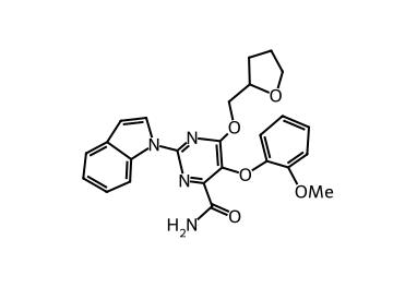 COc1ccccc1Oc1c(OCC2CCCO2)nc(-n2ccc3ccccc32)nc1C(N)=O